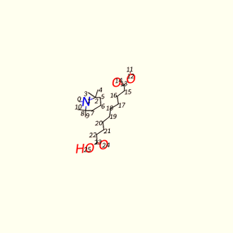 CN1C(C)(C)CCCC1(C)C.COC(=O)CCCCCCCCC(=O)O